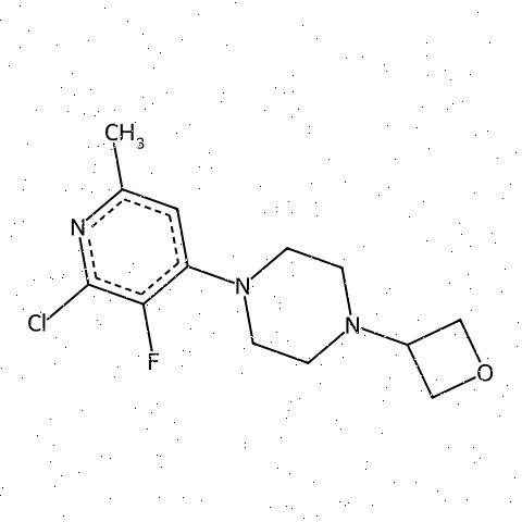 Cc1cc(N2CCN(C3COC3)CC2)c(F)c(Cl)n1